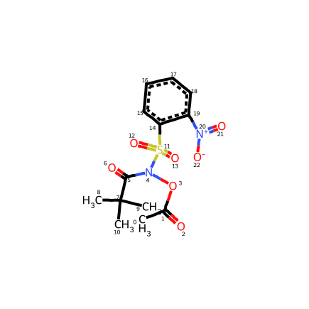 CC(=O)ON(C(=O)C(C)(C)C)S(=O)(=O)c1ccccc1[N+](=O)[O-]